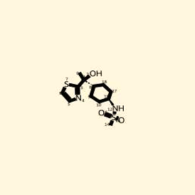 CC(O)(c1nccs1)[C@H]1CC[C@H](NS(C)(=O)=O)CC1